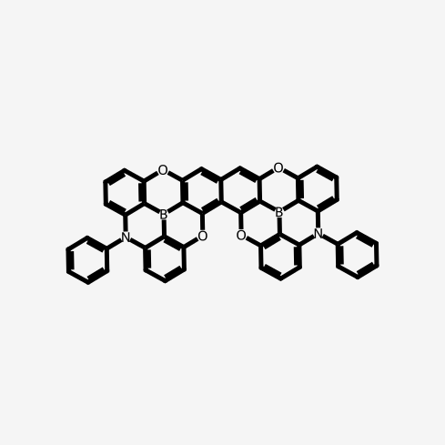 c1ccc(N2c3cccc4c3B3c5c(cccc52)Oc2c3c(cc3cc5c6c(c23)Oc2cccc3c2B6c2c(cccc2N3c2ccccc2)O5)O4)cc1